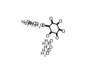 O.O.O.O.O.O.O.O.O.O.O=C1C(=O)C(=O)C(=O)C(=O)C1=O